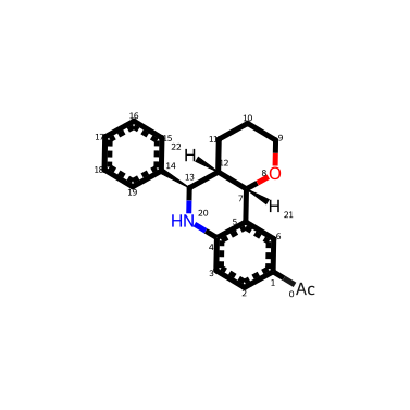 CC(=O)c1ccc2c(c1)[C@H]1OCCC[C@H]1[C@H](c1ccccc1)N2